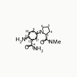 CNC(=O)C1CCCN1c1ccc(N)c(C(N)=O)c1